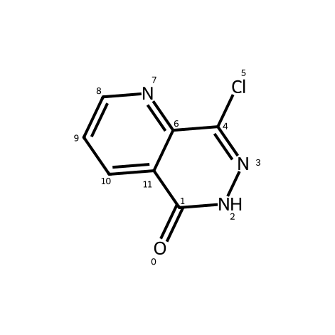 O=c1[nH]nc(Cl)c2ncccc12